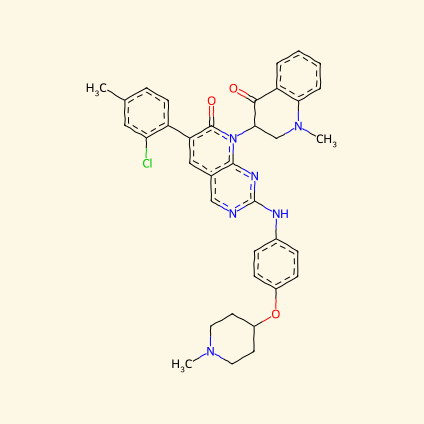 Cc1ccc(-c2cc3cnc(Nc4ccc(OC5CCN(C)CC5)cc4)nc3n(C3CN(C)c4ccccc4C3=O)c2=O)c(Cl)c1